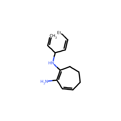 C=CC(/C=C\CC)NC1=C(N)C=CCCC1